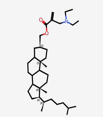 C=C(CN(CC)CC)C(=O)OC[C@H]1CC[C@@]2(C)C(CCC3C2CC[C@@]2(C)C3CC[C@@H]2[C@H](C)CCCC(C)C)C1